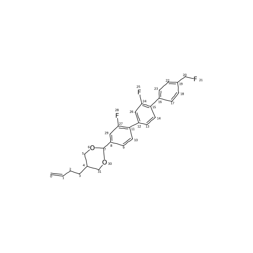 C=CCCC1COC(c2ccc(-c3ccc(-c4ccc(CF)cc4)c(F)c3)c(F)c2)OC1